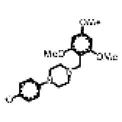 COc1cc(OC)c(CN2CCN(c3ccc([O])cc3)CC2)c(OC)c1